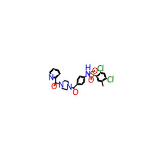 Cc1cc(S(=O)(=O)Nc2ccc(C(=O)N3CCN(C(=O)c4ccccn4)CC3)cc2)c(Cl)cc1Cl